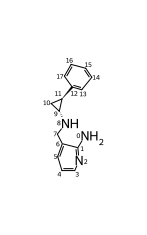 Nc1ncccc1CN[C@@H]1C[C@H]1c1ccccc1